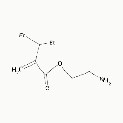 C=C(C(=O)OCCN)C(CC)CC